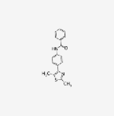 Cc1nc(-c2ccc(NC(=O)c3ccccc3)cc2)c(C)s1